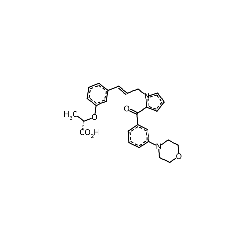 C[C@H](Oc1cccc(/C=C/Cn2cccc2C(=O)c2cccc(N3CCOCC3)c2)c1)C(=O)O